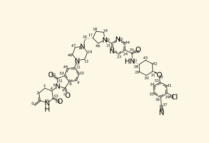 C=C1CCC(N2C(=O)c3ccc(N4CCN(C[C@@H]5CCN(c6ncc(C(=O)N[C@H]7CC[C@H](Oc8ccc(C#N)c(Cl)c8)CC7)cn6)C5)CC4)cc3C2=O)C(=O)N1